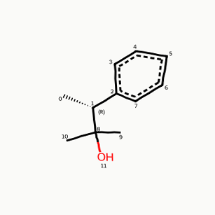 C[C@H](c1ccccc1)C(C)(C)O